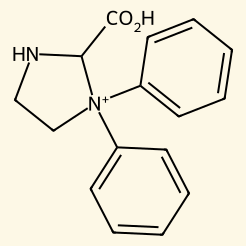 O=C(O)C1NCC[N+]1(c1ccccc1)c1ccccc1